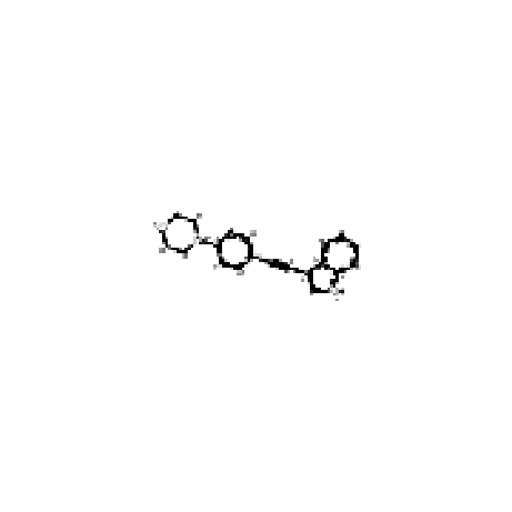 C(#Cc1c[nH]c2ccccc12)c1ccc(N2CCOCC2)cc1